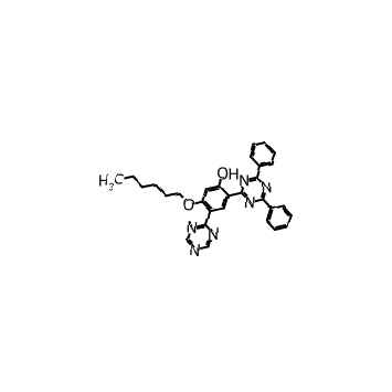 CCCCCCOc1cc(O)c(-c2nc(-c3ccccc3)nc(-c3ccccc3)n2)cc1-c1ncncn1